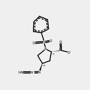 N=[N+]=N[C@@H]1C[C@@H](C(=O)[O-])N(S(=O)(=O)c2ccccc2)C1